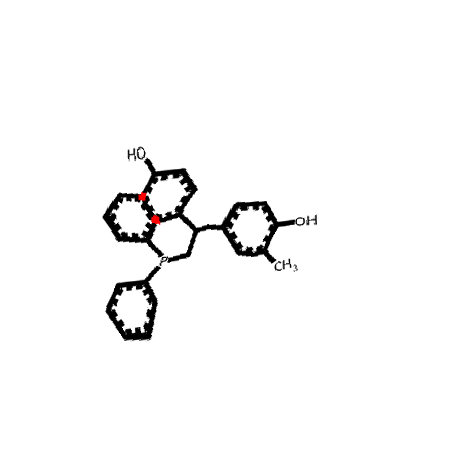 Cc1cc(C(CP(c2ccccc2)c2ccccc2)c2ccc(O)cc2)ccc1O